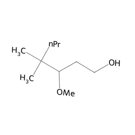 CCCC(C)(C)C(CCO)OC